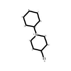 CCC1CCN(C2CCCCC2)CC1